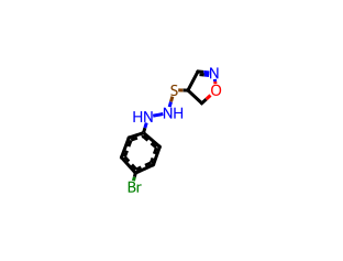 Brc1ccc(NNSC2C=NOC2)cc1